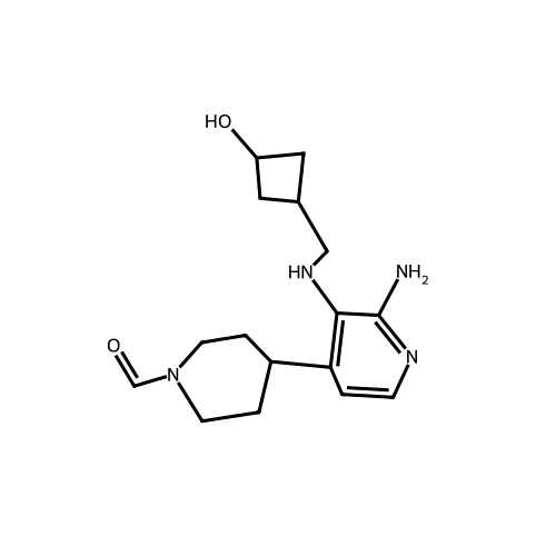 Nc1nccc(C2CCN(C=O)CC2)c1NCC1CC(O)C1